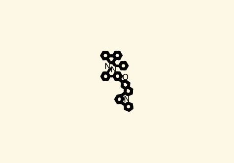 c1ccc(-c2nc(-c3ccccc3-c3ccc4oc5cc6ccc7c(c6cc5c4c3)c3cccc4c5ccccc5n7c43)nc3c4ccccc4c4ccccc4c23)cc1